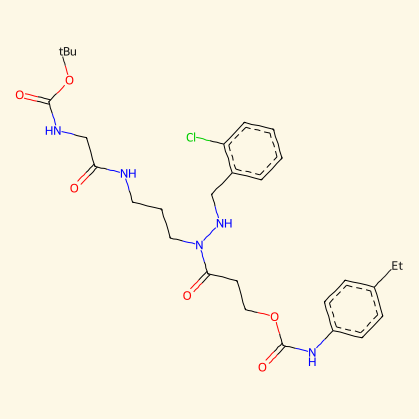 CCc1ccc(NC(=O)OCCC(=O)N(CCCNC(=O)CNC(=O)OC(C)(C)C)NCc2ccccc2Cl)cc1